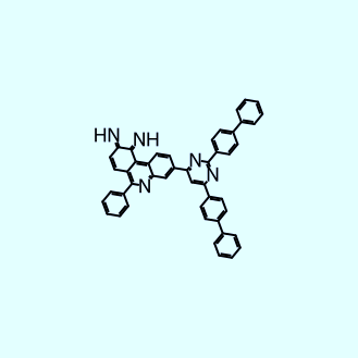 N=C1C=Cc2c(-c3ccccc3)nc3cc(-c4cc(-c5ccc(-c6ccccc6)cc5)nc(-c5ccc(-c6ccccc6)cc5)n4)ccc3c2C1=N